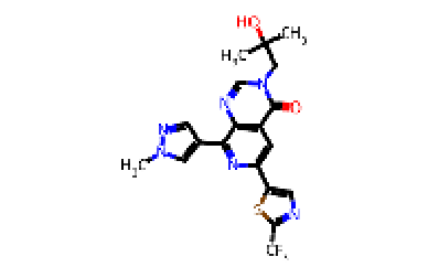 Cn1cc(-c2nc(-c3cnc(C(F)(F)F)s3)cc3c(=O)n(CC(C)(C)O)cnc23)cn1